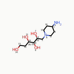 NC1CCN(C[C@H](O)[C@@H](O)[C@H](O)CCO)CC1